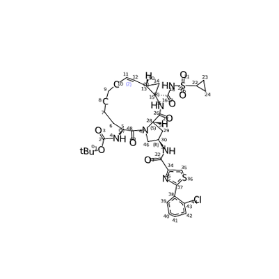 CC(C)(C)OC(=O)N[C@H]1CCCCC/C=C\[C@@H]2C[C@@]2(C(=O)NS(=O)(=O)C2CC2)NC(=O)[C@@H]2C[C@@H](NC(=O)c3csc(-c4ccccc4Cl)n3)CN2C1=O